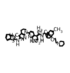 C/C(NCC1CC2(C)CC3(C)CC1CC(OCCN1CCCCC1)(C2)C3)=C(/C=N)c1ccc(N2CCCc3c2nnc(Nc2nc4ccccc4s2)c3C)nc1C(=O)O